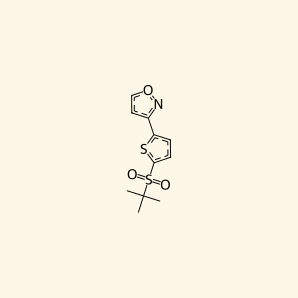 CC(C)(C)S(=O)(=O)c1ccc(-c2ccon2)s1